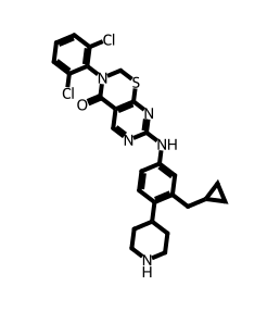 O=C1c2cnc(Nc3ccc(C4CCNCC4)c(CC4CC4)c3)nc2SCN1c1c(Cl)cccc1Cl